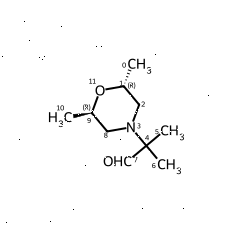 C[C@@H]1CN(C(C)(C)C=O)C[C@@H](C)O1